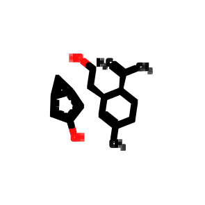 C=C(C)[C@H]1CCC(C)=C[C@H]1CCO.Oc1cc2cc-2c1